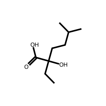 CCC(O)(CCC(C)C)C(=O)O